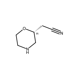 N#CC[C@@H]1CNCCO1